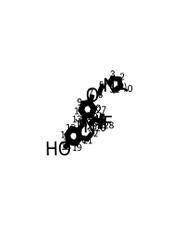 C[C@@H]1CCN(CCOc2ccc([C@]3(C)c4ccc(O)cc4CCN3CC(C)(C)F)cc2)C1